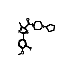 COc1ccc(-c2nc(C)c(C(=O)N3CCN(C4CCCC4)CC3)s2)cc1F